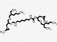 CCCCC(CC)COCC(CN1CC1C)OCNCCCCCCNC(=O)OC(COCC(CC)CCCC)CN1CC1C